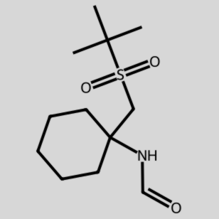 CC(C)(C)S(=O)(=O)CC1(NC=O)CCCCC1